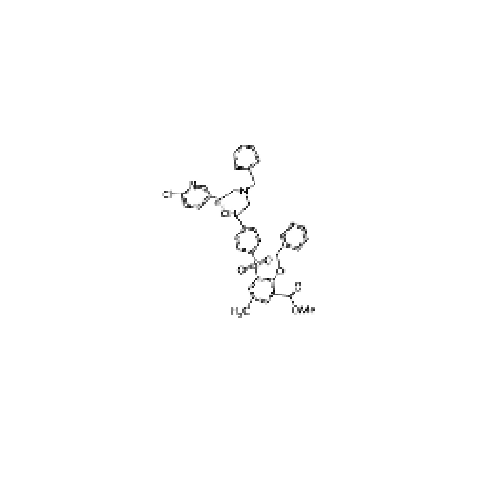 COC(=O)c1cc(C)cc(S(=O)(=O)c2ccc(CCN(Cc3ccccc3)C[C@H](O)c3ccc(Cl)nc3)cc2)c1OCc1ccccc1